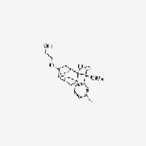 COC1(c2cccc(C)c2)OOC12C1CC3CC2CC(OCCO)(C3)C1